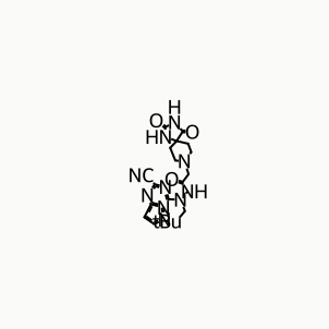 CC(C)(C)CN(NC(=O)CN1CCC2(CC1)NC(=O)NC2=O)c1nc(C#N)nc2ccnn12